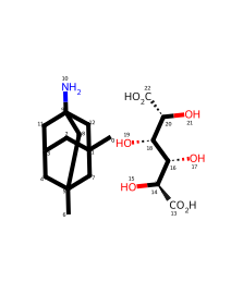 CC12CC3CC(C)(C1)CC(N)(C3)C2.O=C(O)[C@@H](O)[C@@H](O)[C@H](O)[C@@H](O)C(=O)O